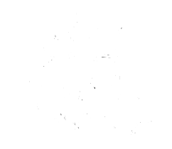 CN(C)S(=O)(=O)c1cccc(Nc2nn3c(-c4ccccc4Br)nnc3c3ccccc23)c1